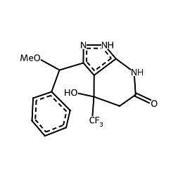 COC(c1ccccc1)c1n[nH]c2c1C(O)(C(F)(F)F)CC(=O)N2